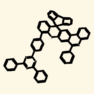 c1ccc(-c2nc(-c3ccccc3)nc(-c3ccc(-c4cccc5c4Sc4cc6c(-c7ccccc7)nc7ccccc7c6cc4C54c5ccccc5-c5ccccc54)cc3)n2)cc1